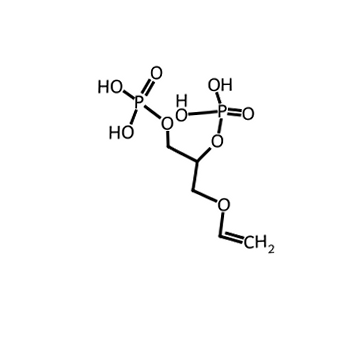 C=COCC(COP(=O)(O)O)OP(=O)(O)O